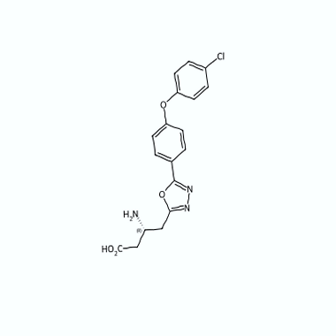 N[C@@H](CC(=O)O)Cc1nnc(-c2ccc(Oc3ccc(Cl)cc3)cc2)o1